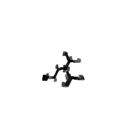 CC(C)P(CCBr)C(C)C